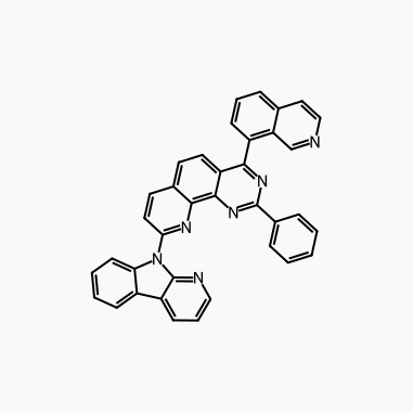 c1ccc(-c2nc(-c3cccc4ccncc34)c3ccc4ccc(-n5c6ccccc6c6cccnc65)nc4c3n2)cc1